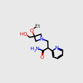 CCOC1(CO)CN(CC(C(N)=O)c2ccccn2)C1